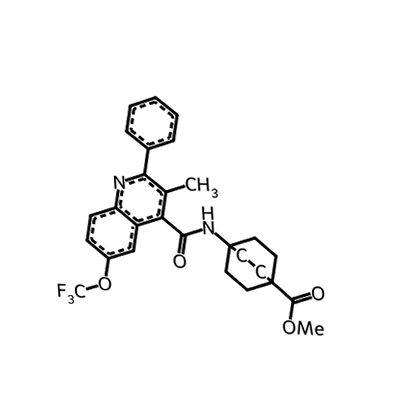 COC(=O)C12CCC(NC(=O)c3c(C)c(-c4ccccc4)nc4ccc(OC(F)(F)F)cc34)(CC1)CC2